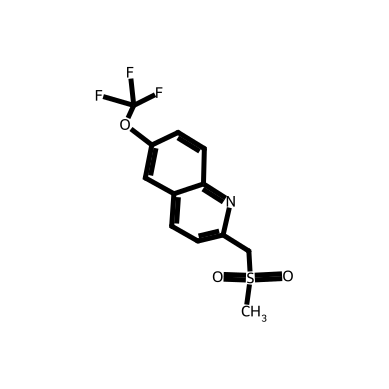 CS(=O)(=O)Cc1ccc2cc(OC(F)(F)F)ccc2n1